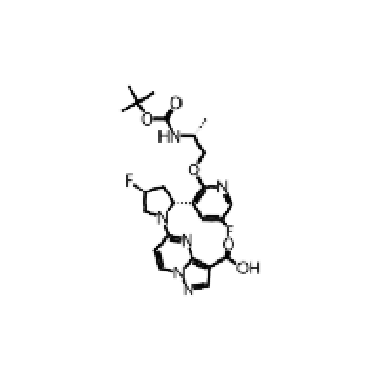 C[C@H](COc1ncc(F)cc1[C@H]1C[C@H](F)CN1c1ccn2ncc(C(=O)O)c2n1)NC(=O)OC(C)(C)C